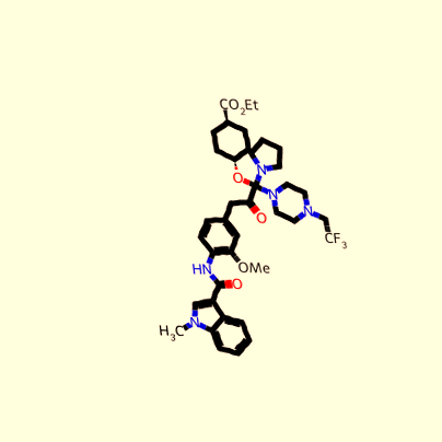 CCOC(=O)[C@H]1CC[C@H](OC(C(=O)Cc2ccc(NC(=O)c3cn(C)c4ccccc34)c(OC)c2)(N2CCCC2)N2CCN(CC(F)(F)F)CC2)CC1